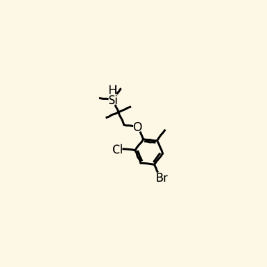 Cc1cc(Br)cc(Cl)c1OCC(C)(C)[SiH](C)C